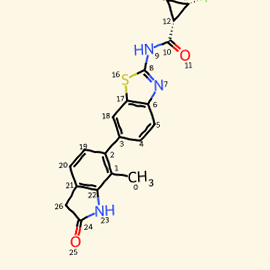 Cc1c(-c2ccc3nc(NC(=O)[C@@H]4C[C@@H]4F)sc3c2)ccc2c1NC(=O)C2